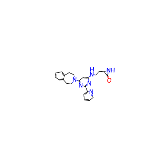 O=C1NC1CCNc1cc(N2CCc3ccccc3CC2)nc(-c2ccccn2)n1